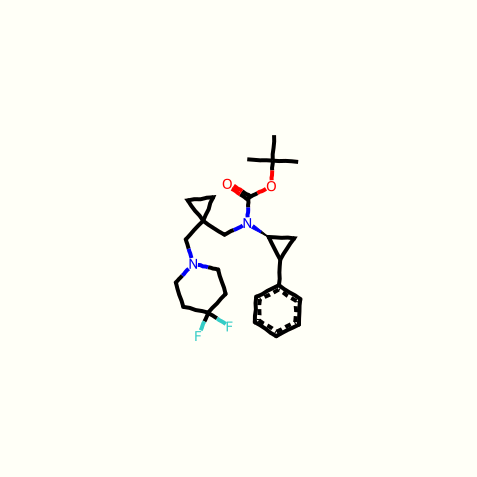 CC(C)(C)OC(=O)N(CC1(CN2CCC(F)(F)CC2)CC1)[C@H]1CC1c1ccccc1